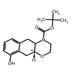 CC(C)(C)OC(=O)N1CCO[C@@H]2Cc3c(O)cccc3CC21